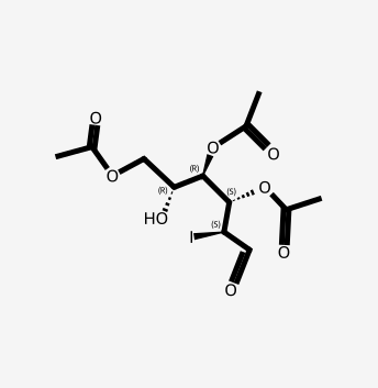 CC(=O)OC[C@@H](O)[C@@H](OC(C)=O)[C@H](OC(C)=O)[C@H](I)C=O